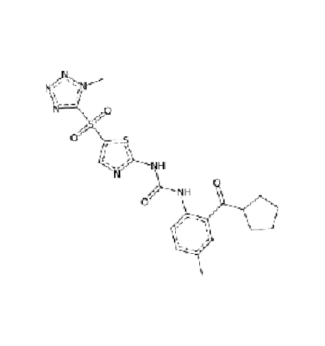 Cc1ccc(NC(=O)Nc2ncc(S(=O)(=O)c3nnnn3C)s2)c(C(=O)C2CCCC2)c1